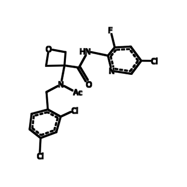 CC(=O)N(Cc1ccc(Cl)cc1Cl)C1(C(=O)Nc2ncc(Cl)cc2F)COC1